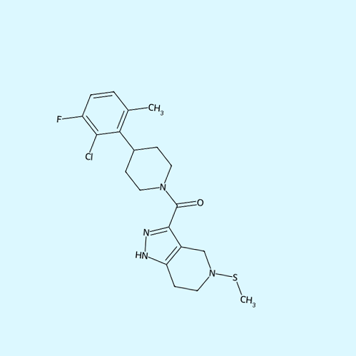 CSN1CCc2[nH]nc(C(=O)N3CCC(c4c(C)ccc(F)c4Cl)CC3)c2C1